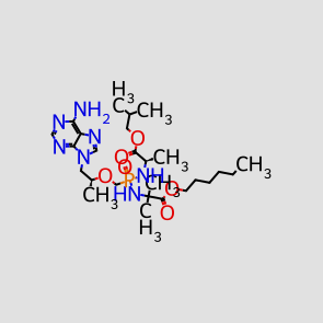 CCCCCCOC(=O)C(C)(C)NP(=O)(CO[C@@H](C)Cn1cnc2c(N)ncnc21)N[C@H](C)C(=O)OCC(C)C